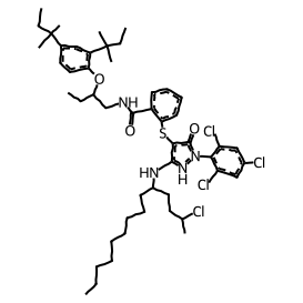 CCCCCCCCCC(CCC(C)Cl)Nc1[nH]n(-c2c(Cl)cc(Cl)cc2Cl)c(=O)c1Sc1ccccc1C(=O)NCC(CC)Oc1ccc(C(C)(C)CC)cc1C(C)(C)CC